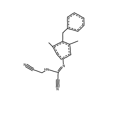 Cc1cc(N=C(C#N)NCC#N)cc(C)c1Cc1ccccc1